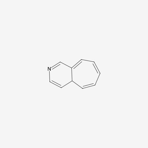 C1=CC=C2C=NC=CC2C=C1